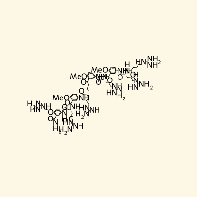 COc1ccc(NC(=O)[C@@H](CCCNC(=N)N)NC(=O)c2cc(NC(=O)[C@@H](CCCNC(=N)N)NC(=O)CCCCNC(=N)N)ccc2OC)cc1C(=O)CCC[C@H](CCCNC(=N)N)C(=O)Nc1ccc(OC)c(C(=O)N[C@H](CCCNC(=N)N)C(=O)Nc2ccc(OCCNC(=N)N)c(C(N)=O)c2)c1